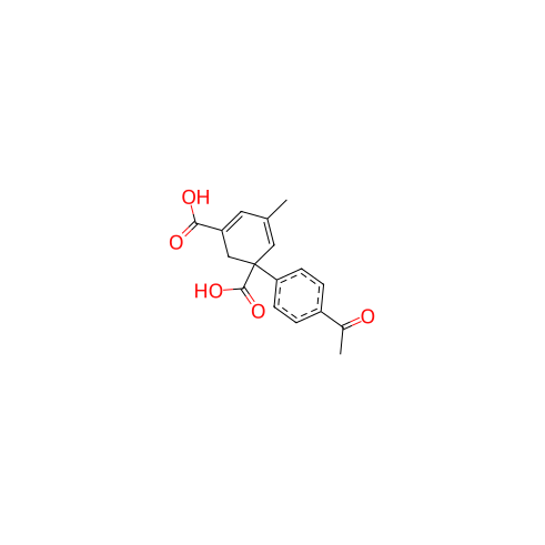 CC(=O)c1ccc(C2(C(=O)O)C=C(C)C=C(C(=O)O)C2)cc1